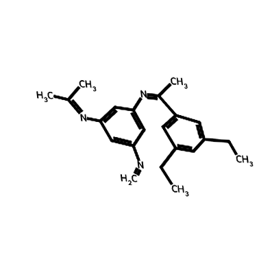 C=Nc1cc(N=C(C)C)cc(N=C(C)c2cc(CC)cc(CC)c2)c1